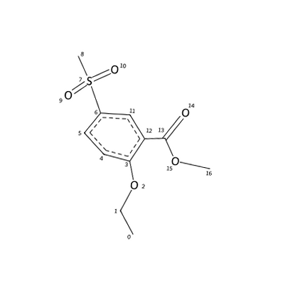 CCOc1ccc(S(C)(=O)=O)cc1C(=O)OC